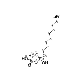 CC(C)CCCCCCCCOP(=O)(O)OP(=O)(O)O